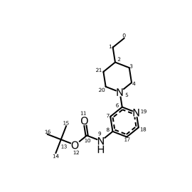 CCC1CCN(c2cc(NC(=O)OC(C)(C)C)ccn2)CC1